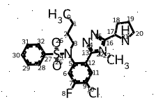 CCCCN(c1cc(F)c(Cl)cc1-c1nnc(C2CCCN2)n1C)S(=O)(=O)c1ccccc1